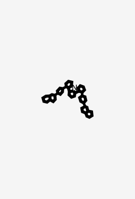 c1ccc2cc(-c3ccc(-c4cccc5c4c4cccc6c7c(-c8ccc(-c9ccc%10ccccc%10c9)cc8)cccc7n5c46)cc3)ccc2c1